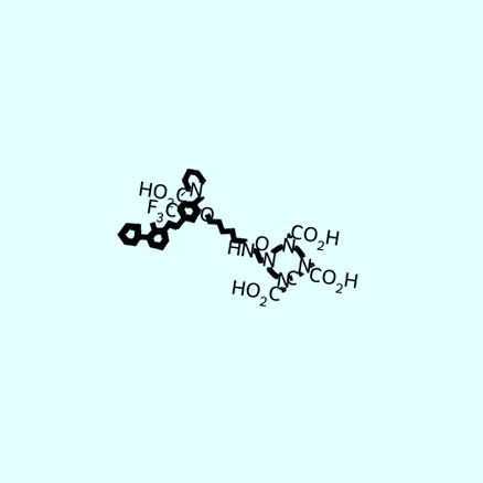 Cc1c(/C=C/c2cc(OCCCCCCNC(=O)CN3CCN(CC(=O)O)CCN(CC(=O)O)CCN(CC(=O)O)CC3)c(CN3CCCC[C@H]3C(=O)O)cc2C(F)(F)F)cccc1-c1ccccc1